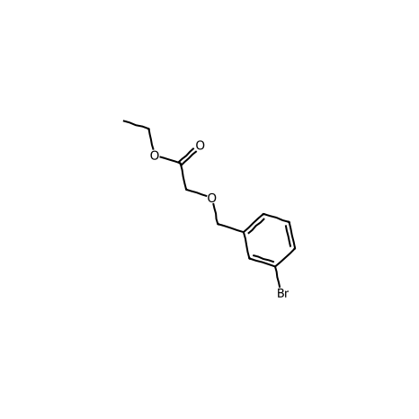 CCOC(=O)COCc1cccc(Br)c1